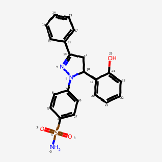 NS(=O)(=O)c1ccc(N2N=C(c3ccccc3)CC2c2ccccc2O)cc1